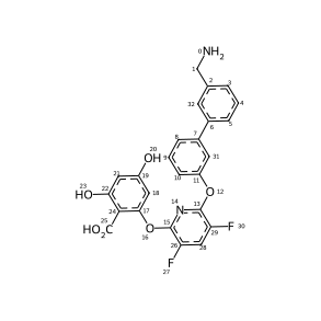 NCc1cccc(-c2cccc(Oc3nc(Oc4cc(O)cc(O)c4C(=O)O)c(F)cc3F)c2)c1